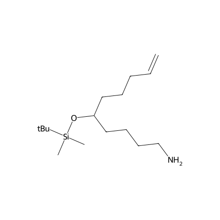 C=CCCCC(CCCCN)O[Si](C)(C)C(C)(C)C